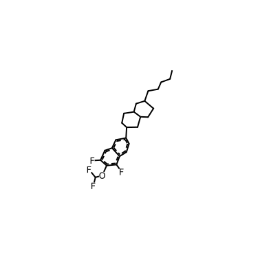 CCCCCC1CCC2CC(c3ccc4c(F)c(OC(F)F)c(F)cc4c3)CCC2C1